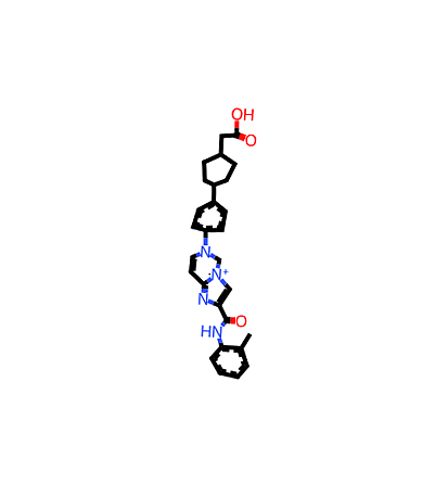 Cc1ccccc1NC(=O)C1=C[N+]2CN(c3ccc(C4CCC(CC(=O)O)CC4)cc3)C=CC2=N1